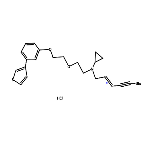 CC(C)(C)C#C/C=C/CN(CCOCCOc1cccc(-c2ccsc2)c1)C1CC1.Cl